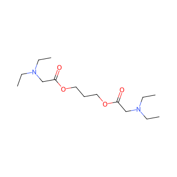 CCN(CC)CC(=O)OCCCOC(=O)CN(CC)CC